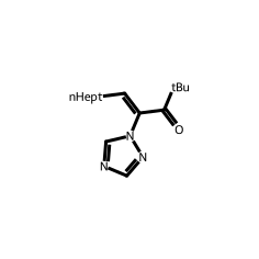 CCCCCCC/C=C(/C(=O)C(C)(C)C)n1cncn1